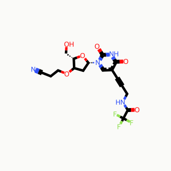 N#CCCOC1C[C@@H](n2cc(C#CCNC(=O)C(F)(F)F)c(=O)[nH]c2=O)O[C@H]1CO